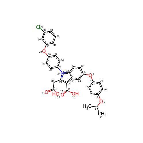 CC(C)Oc1ccc(Oc2ccc3c(c2)c(C(=O)O)c(CC(=O)O)n3-c2ccc(Oc3cccc(Cl)c3)cc2)cc1